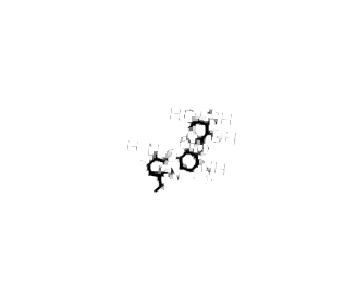 CCC1=CC[C@@H](N)[C@@H](OC2[C@@H](N)C[C@@H](NC)[C@H](O[C@H]3OC[C@](C)(O)[C@H](NC)[C@H]3O)[C@H]2O)O1